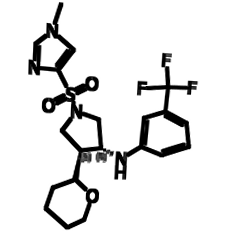 Cn1cnc(S(=O)(=O)N2C[C@H](Nc3cccc(C(F)(F)F)c3)[C@@H](C3CCCCO3)C2)c1